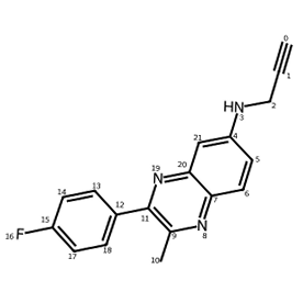 C#CCNc1ccc2nc(C)c(-c3ccc(F)cc3)nc2c1